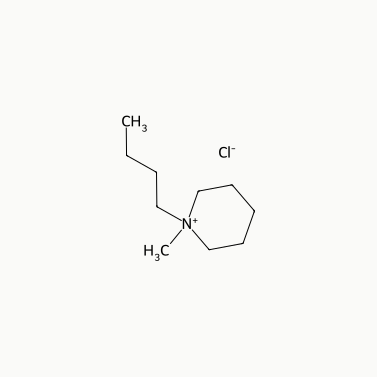 CCCC[N+]1(C)CCCCC1.[Cl-]